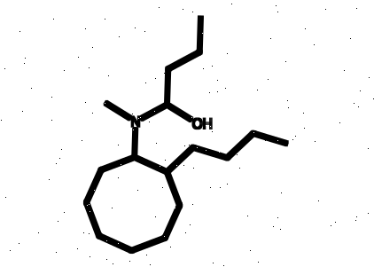 CCCCC1CCCCCCC1N(C)C(O)CCC